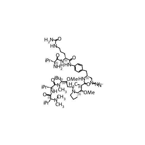 CC[C@H](C)[C@@H]([C@@H](CCN1CCC[C@H]1[C@H](OC)[C@@H](C)C(=O)N[C@H](CN=[N+]=[N-])Cc1ccc(NC(=O)[C@H](CCCNC(N)=O)NC(=O)[C@@H](N)C(C)C)cc1)OC)N(C)C(=O)[C@@H](NC(=O)[C@H](C(C)C)N(C)C)C(C)C